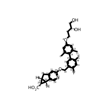 Cc1cc(OCC[C@@H](O)CO)cc(C)c1-c1cc(COc2cc3c(cn2)[C@H]2[C@@H](C3)[C@@H]2C(=O)O)c(F)cc1F